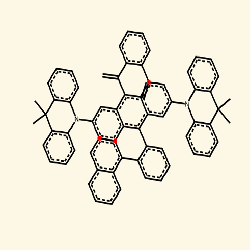 C=Cc1ccccc1C(=C)c1c2cc(N3c4ccccc4C(C)(C)c4ccccc43)ccc2c(-c2ccccc2-c2cccc3ccccc23)c2cc(N3c4ccccc4C(C)(C)c4ccccc43)ccc12